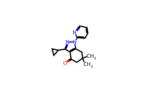 CC1(C)CC(=O)c2c(C3CC3)nn(-c3ccccn3)c2C1